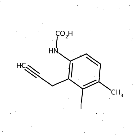 C#CCc1c(NC(=O)O)ccc(C)c1I